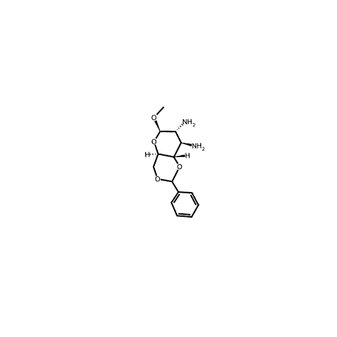 CO[C@@H]1O[C@@H]2COC(c3ccccc3)O[C@H]2[C@H](N)[C@H]1N